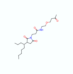 CCCCCC(CCC)C1CC(=O)N(CCC(=O)NCCOCCC(C)=O)C1=O